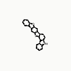 c1ccc2c(c1)[nH]c1ccc3c4cc5oc6ccccc6c5cc4sc3c12